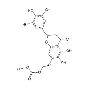 CC(C)OC(=O)OCOc1cc2c(c(O)c1O)C(=O)CC(c1cc(O)c(O)c(O)c1)O2